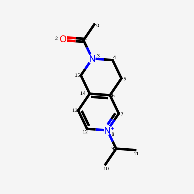 CC(=O)N1CCc2c[n+](C(C)C)ccc2C1